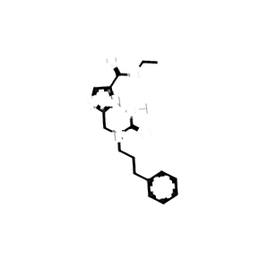 CCOC(=O)c1csc(CN(CCCc2ccccc2)C(=O)O)n1